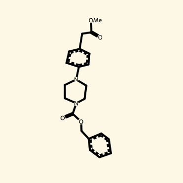 COC(=O)Cc1ccc(N2CCN(C(=O)OCc3ccccc3)CC2)cc1